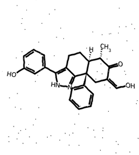 C[C@@H]1C(=O)/C(=C\O)C[C@]2(c3ccccc3)c3n[nH]c(-c4cccc(O)c4)c3CC[C@@H]12